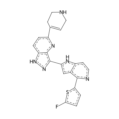 Fc1ccc(-c2nccc3[nH]c(-c4n[nH]c5ccc(C6=CCNCC6)nc45)cc23)s1